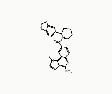 Cn1ncc2c(N)nc3ccc(C(=O)N4CCCCC4c4ccc5ncsc5c4)cc3c21